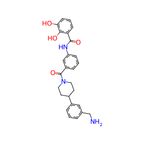 NCc1cccc(C2CCN(C(=O)c3cccc(NC(=O)c4cccc(O)c4O)c3)CC2)c1